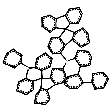 c1ccc(-c2ccccc2-c2ccccc2N(c2ccc3c(c2)C2(c4ccccc4-3)c3ccccc3N(c3ccccc3)c3ccccc32)c2cccc3c2-c2ccccc2C32c3ccccc3-c3ccccc32)cc1